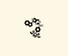 CCS(=O)(=O)N(c1ccc(Nc2ncc3cnn(C4CCc5ccccc54)c3n2)cc1)S(=O)(=O)CC